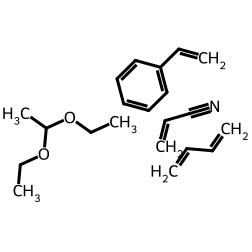 C=CC#N.C=CC=C.C=Cc1ccccc1.CCOC(C)OCC